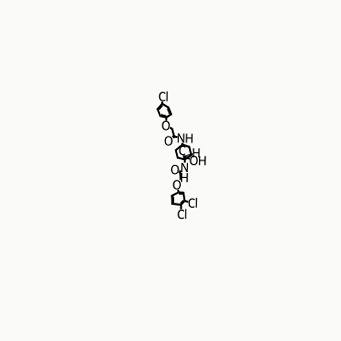 O=C(COc1ccc(Cl)cc1)NC12CCC(NC(=O)COc3ccc(Cl)c(Cl)c3)(CC1)[C@@H](O)C2